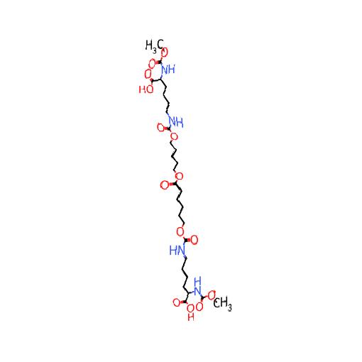 COC(=O)NC(CCCCNC(=O)OCCCCCOC(=O)CCCCCOC(=O)NCCCCC(NC(=O)OC)C(=O)O)C(=O)O